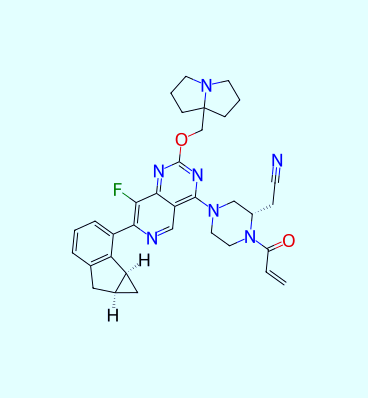 C=CC(=O)N1CCN(c2nc(OCC34CCCN3CCC4)nc3c(F)c(-c4cccc5c4[C@H]4C[C@H]4C5)ncc23)C[C@@H]1CC#N